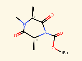 C[C@H]1C(=O)N(C(=O)OC(C)(C)C)[C@@H](C)C(=O)N1C